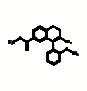 COC(=O)c1ccc2c(c1)C(c1ccccc1OC)=C(C)CC2